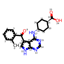 Cc1ccccc1C(=O)c1c[nH]c2ncnc(N[C@H]3CC[C@H](C(=O)O)CC3)c12